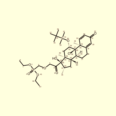 CCOP(=O)(COCC(=O)[C@@]1(O)[C@@H](C)C[C@H]2[C@@H]3CCC4=CC(=O)C=C[C@]4(C)[C@@]3(Cl)[C@@H](O[Si](C)(C)C(C)(C)C)C[C@@]21C)OCC